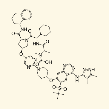 Cc1[nH]nc(Nc2ncnc3cc(OC4CCN(c5ncc(O[C@H]6C[C@@H](C(=O)N[C@@H]7CCCc8ccccc87)N(C(=O)[C@@H](NC(=O)C(C)N(C)C(=O)O)C7CCCCC7)C6)cn5)CC4)c(S(=O)(=O)C(C)(C)C)cc23)c1C